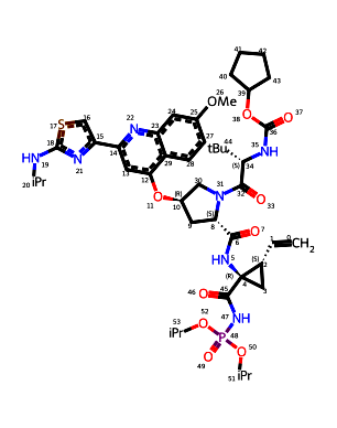 C=C[C@@H]1C[C@]1(NC(=O)[C@@H]1C[C@@H](Oc2cc(-c3csc(NC(C)C)n3)nc3cc(OC)ccc23)CN1C(=O)[C@@H](NC(=O)OC1CCCC1)C(C)(C)C)C(=O)NP(=O)(OC(C)C)OC(C)C